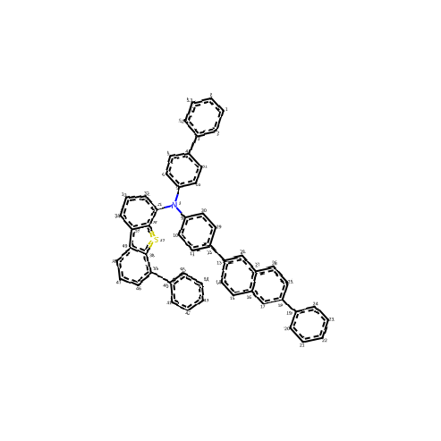 c1ccc(-c2ccc(N(c3ccc(-c4ccc5cc(-c6ccccc6)ccc5c4)cc3)c3cccc4c3sc3c(-c5ccccc5)cccc34)cc2)cc1